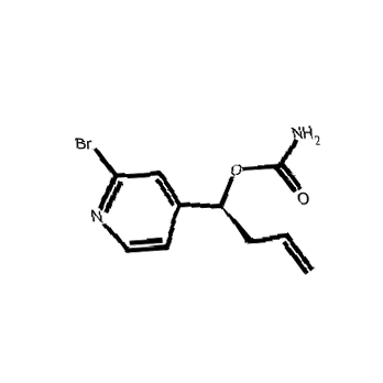 C=CC[C@H](OC(N)=O)c1ccnc(Br)c1